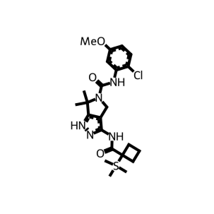 COc1ccc(Cl)c(NC(=O)N2Cc3c(NC(=O)C4(S(C)(C)C)CCC4)n[nH]c3C2(C)C)c1